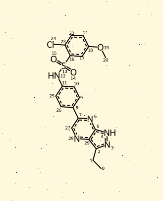 CCc1n[nH]c2nc(-c3ccc(NS(=O)(=O)c4cc(OC)ccc4Cl)cc3)cnc12